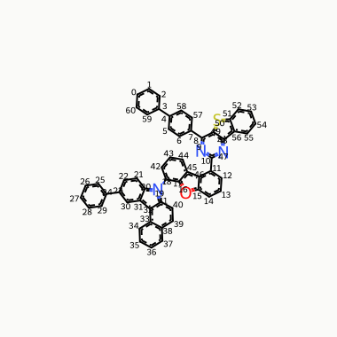 c1ccc(-c2ccc(-c3nc(-c4cccc5oc6c(-n7c8ccc(-c9ccccc9)cc8c8c9ccccc9ccc87)cccc6c45)nc4c3sc3ccccc34)cc2)cc1